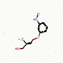 CCNc1cccc(OC/C=C(\C)CO)c1